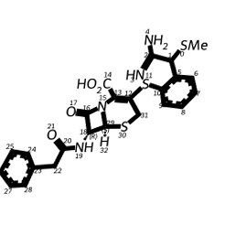 CSC(C(=N)N)c1ccccc1SC1=C(C(=O)O)N2C(=O)[C@@H](NC(=O)Cc3ccccc3)[C@@H]2SC1